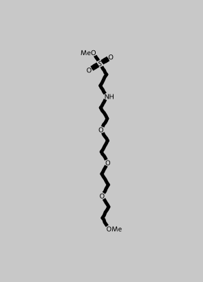 COCCOCCOCCOCCNCCS(=O)(=O)OC